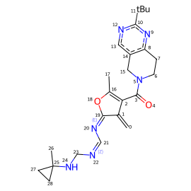 C=C1C(C(=O)N2CCc3nc(C(C)(C)C)ncc3C2)=C(C)O/C1=N/C=N\CNC1(C)CC1